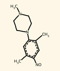 Cc1cc(N2CCN(C)CC2)c(C)cc1N=O